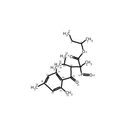 CCC(C)OC(=O)C(C)(P=O)C(C(=O)c1c(C)cc(C)cc1C)C(C)C